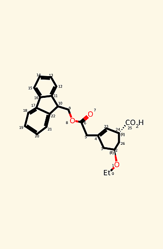 CCO[C@H]1CC(CC(=O)OCC2c3ccccc3-c3ccccc32)=C[C@H](C(=O)O)C1